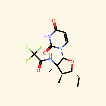 CC[C@H]1O[C@@H](n2ccc(=O)[nH]c2=O)[C@](C)(NC(=O)C(F)(F)F)[C@@H]1C